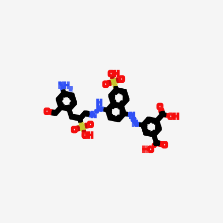 Nc1ccc(/C=C(\C=N\Nc2ccc(N=Nc3cc(C(=O)O)cc(C(=O)O)c3)c3ccc(S(=O)(=O)O)cc23)S(=O)(=O)O)c(C=O)c1